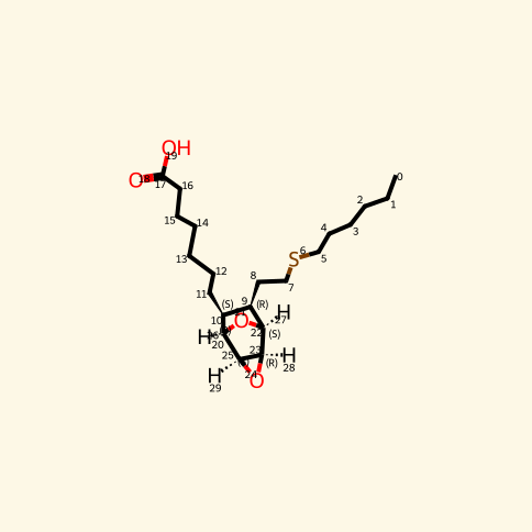 CCCCCCSCC[C@@H]1[C@H](CCCCCCC(=O)O)[C@H]2O[C@@H]1[C@H]1O[C@H]12